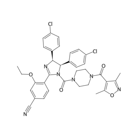 CCOc1cc(C#N)ccc1C1=N[C@@H](c2ccc(Cl)cc2)[C@@H](c2ccc(Cl)cc2)N1C(=O)N1CCN(C(=O)c2c(C)noc2C)CC1